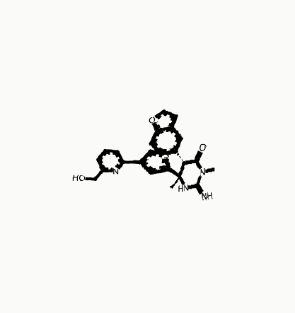 CN1C(=N)N[C@](C)(c2cc(-c3cccc(CO)n3)cs2)[C@H](c2ccc3occc3c2)C1=O